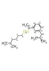 CC(C)CCCCSSC(C)c1cccc(CC(C)C)c1